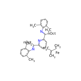 C=CC(=C)C.CCCCCCCCC(=Nc1c(C)cccc1C)c1cccc(C(CCCCCCCC)=Nc2c(C)cccc2C)n1.[Fe]